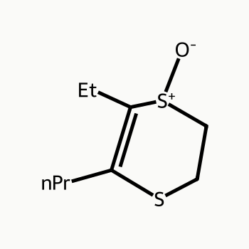 CCCC1=C(CC)[S+]([O-])CCS1